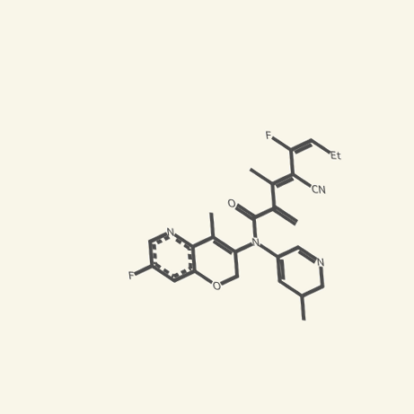 C=C(C(=O)N(C1=CC(C)CN=C1)C1=C(C)c2ncc(F)cc2OC1)/C(C)=C(C#N)/C(F)=C\CC